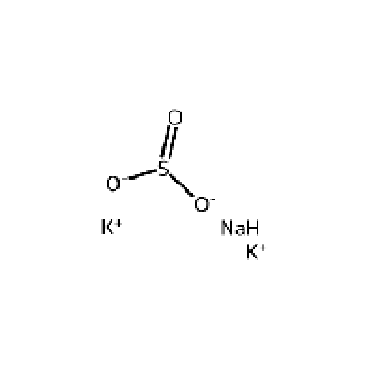 O=S([O-])[O-].[K+].[K+].[NaH]